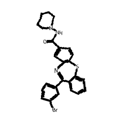 O=C(NN1CCCCC1)c1ccc2c(c1)N=C(c1cccc(Br)c1)c1ccccc1S2